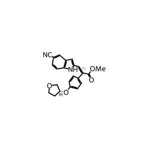 COC(=O)/C(=C/c1cc2cc(C#N)ccc2[nH]1)c1ccc(O[C@@H]2CCOC2)cc1